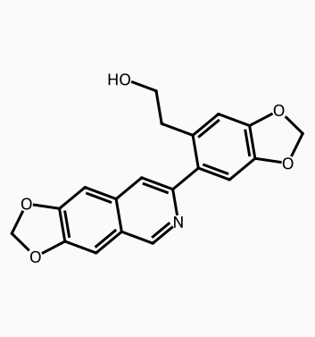 OCCc1cc2c(cc1-c1cc3cc4c(cc3cn1)OCO4)OCO2